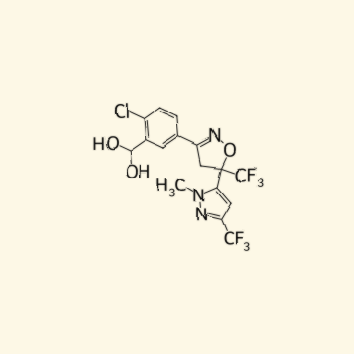 Cn1nc(C(F)(F)F)cc1C1(C(F)(F)F)CC(c2ccc(Cl)c(C(O)O)c2)=NO1